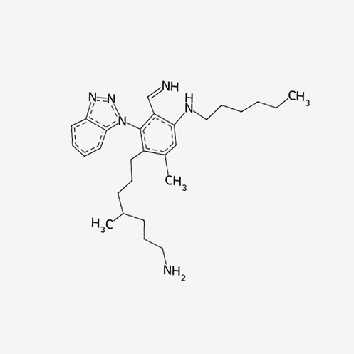 CCCCCCNc1cc(C)c(CCCC(C)CCCN)c(-n2nnc3ccccc32)c1C=N